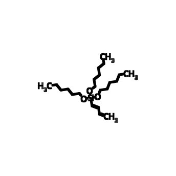 C=CC=C[Si](OCCCCCC)(OCCCCCC)OCCCCCC